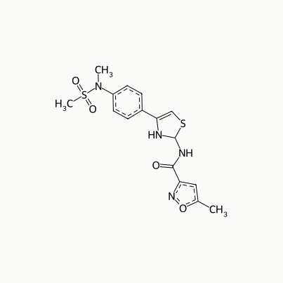 Cc1cc(C(=O)NC2NC(c3ccc(N(C)S(C)(=O)=O)cc3)=CS2)no1